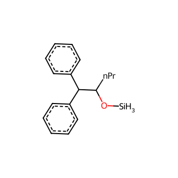 CCCC(O[SiH3])C(c1ccccc1)c1ccccc1